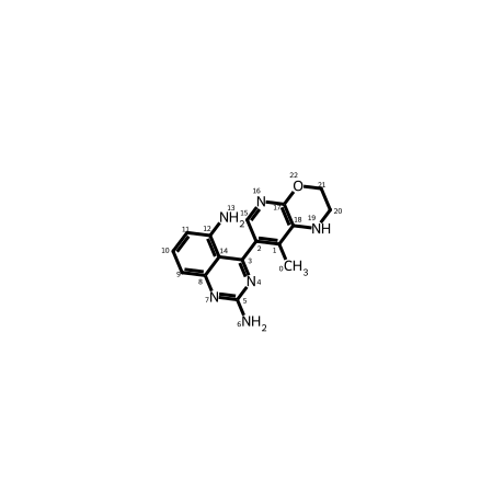 Cc1c(-c2nc(N)nc3cccc(N)c23)cnc2c1NCCO2